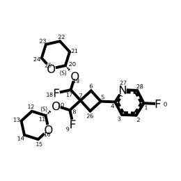 Fc1ccc(C2CC(C(F)O[C@H]3CCCCO3)(C(F)O[C@H]3CCCCO3)C2)nc1